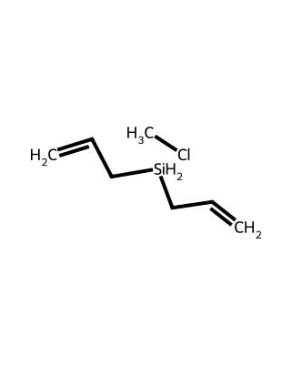 C=CC[SiH2]CC=C.CCl